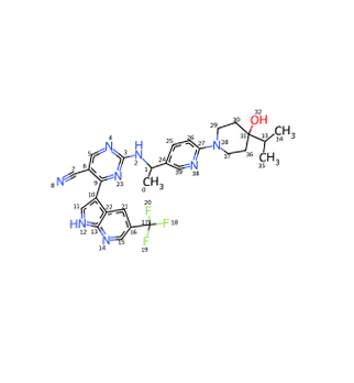 CC(Nc1ncc(C#N)c(-c2c[nH]c3ncc(C(F)(F)F)cc23)n1)c1ccc(N2CCC(O)(C(C)C)CC2)nc1